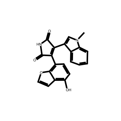 Cn1cc(C2=C(c3ccc(O)c4ccoc34)C(=O)NC2=O)c2ccccc21